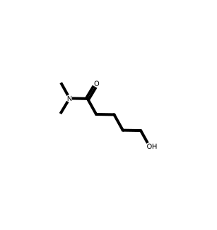 CN(C)C(=O)CCCCO